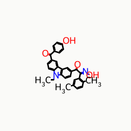 CCn1c2ccc(C(=O)/C(=N/O)c3cc(C)ccc3C)cc2c2cc(C(=O)c3ccc(O)cc3)ccc21